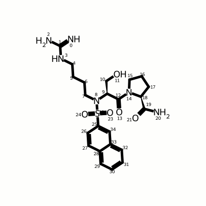 N=C(N)NCCCCN([C@@H](CO)C(=O)N1CCC[C@H]1C(N)=O)S(=O)(=O)c1ccc2ccccc2c1